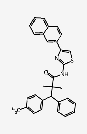 CC(C)(C(=O)Nc1nc(-c2ccc3ccccc3c2)cs1)C(c1ccccc1)c1ccc(C(F)(F)F)cc1